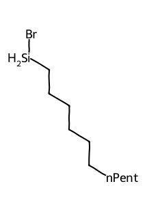 CCCCCCCCCCC[SiH2]Br